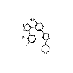 Nc1ncc(-c2cnn(C3CCOCC3)c2)cc1-c1nnnn1-c1cccc(F)c1F